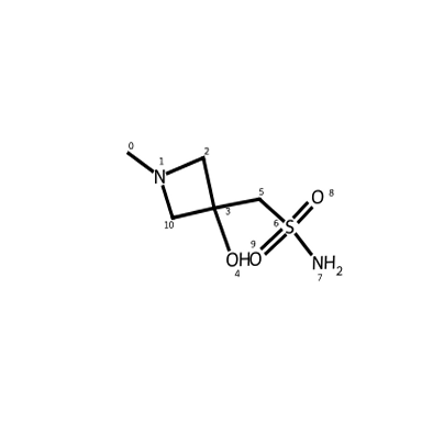 CN1CC(O)(CS(N)(=O)=O)C1